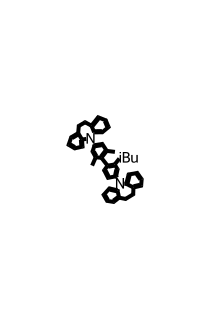 CCC(C)c1cc(N2c3ccccc3CCc3ccccc32)ccc1-c1c(C)cc(N2c3ccccc3CCc3ccccc32)cc1C